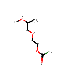 CCOC(C)COCCOC(=O)Cl